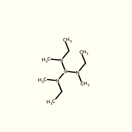 CCN(C)[Si](N(C)CC)N(C)CC